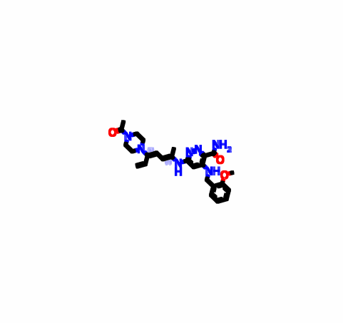 C=C/C(=C\C=C(/C)Nc1cc(NCc2ccccc2OC)c(C(N)=O)nn1)N1CCN(C(C)=O)CC1